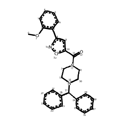 COc1ccccc1-c1cc(C(=O)N2CCN(C(c3ccccc3)c3ccccc3)CC2)on1